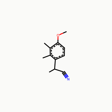 COc1ccc(C(C)C#N)c(C)c1C